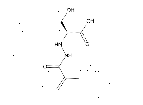 C=C(C)C(=O)NN[C@@H](CO)C(=O)O